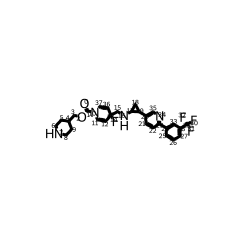 O=C(OCC1CCNCC1)N1C=CC(F)(CNC2CC2c2ccc(-c3cccc(C(F)(F)F)c3)nc2)C=C1